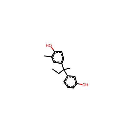 CCC(C)(c1cccc(O)c1)c1ccc(O)c(C)c1